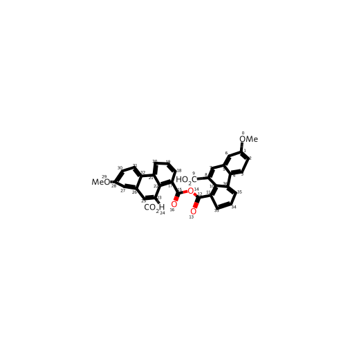 COc1ccc2c(c1)cc(C(=O)O)c1c(C(=O)OC(=O)c3cccc4c3c(C(=O)O)cc3cc(OC)ccc34)cccc12